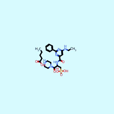 CCCCC(=O)O.CCNc1cc(C(=O)NC(CP(=O)(O)O)C(=O)N2CCNCC2)nc(-c2ccccc2)n1